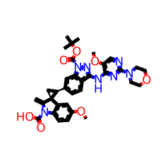 C=C1N(C(=O)O)c2ccc(OC)cc2[C@]12C[C@H]2c1ccc2c(Nc3nc(N4CCOCC4)ncc3OC)nn(C(=O)OC(C)(C)C)c2c1